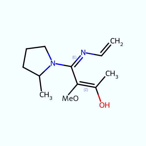 C=C/N=C(\C(OC)=C(/C)O)N1CCCC1C